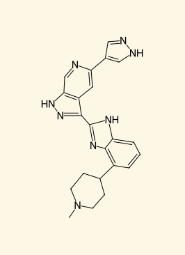 CN1CCC(c2cccc3[nH]c(-c4n[nH]c5cnc(-c6cn[nH]c6)cc45)nc23)CC1